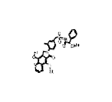 CCOc1c2c(c(OCC)c3ncccc13)CN(c1ccc(CS(=O)(=O)NC(=O)[C@@H](OC)c3ccccc3)cc1C)C2=O